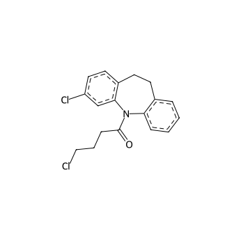 O=C(CCCCl)N1c2ccccc2CCc2ccc(Cl)cc21